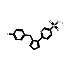 NS(=O)(=O)c1ccc(C2=CCC=C2Cc2ccc(F)cc2)nc1